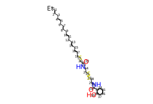 CCC=CCC=CCC=CCC=CCC=CCC=CCSCC(=O)NCCSSCCNC(=O)c1ccccc1O